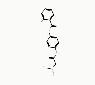 CCN(CC)CC(=O)Nc1ccc(OC(=O)c2ccccc2OC(C)=O)cc1